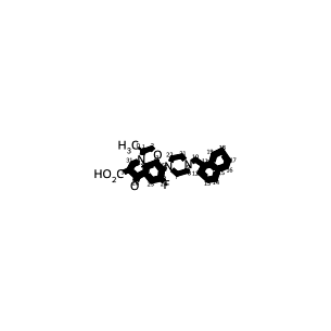 C[C@H]1COc2c(N3CCN(Cc4cccc5ccccc45)CC3)c(F)cc3c(=O)c(C(=O)O)cn1c23